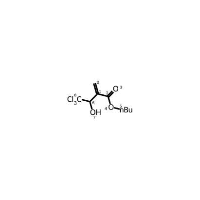 C=C(C(=O)OCCCC)C(O)C(Cl)(Cl)Cl